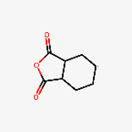 O=C1OC(=O)C2CC[CH]CC12